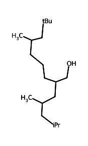 CC(C)CC(C)CC(CO)CCCC(C)CC(C)(C)C